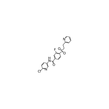 O=C(Nc1ccc(Cl)nc1)c1ccc(S(=O)(=O)CCc2ccccn2)c(F)c1